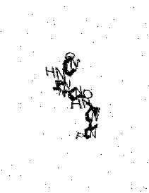 Cc1cc(Nc2ccn(C)c(=O)c2)nc(-c2ccc(C(=O)NCc3ccc(-c4cc(F)cnc4C)nc3)nc2)n1